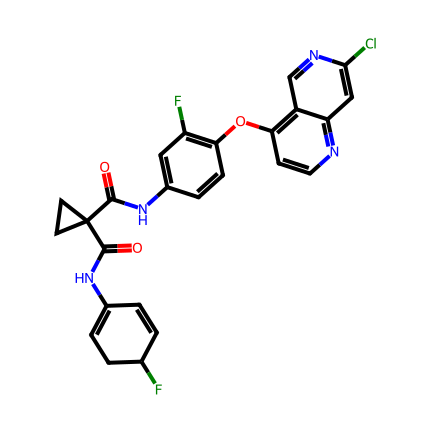 O=C(NC1=CCC(F)C=C1)C1(C(=O)Nc2ccc(Oc3ccnc4cc(Cl)ncc34)c(F)c2)CC1